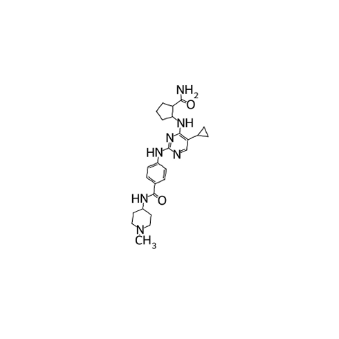 CN1CCC(NC(=O)c2ccc(Nc3ncc(C4CC4)c(NC4CCCC4C(N)=O)n3)cc2)CC1